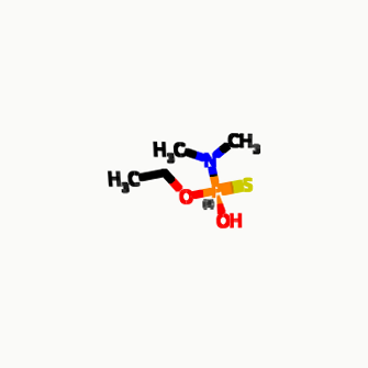 CCO[P@@](O)(=S)N(C)C